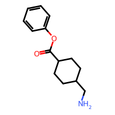 NCC1CCC(C(=O)Oc2ccccc2)CC1